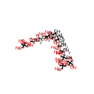 C=C(C)C(=O)O.C=C(C)C(=O)O.C=C(C)C(=O)O.C=CC(=O)O.C=CC(=O)O.C=CC(=O)O.C=CC(=O)O.CCC(CO)(CO)CO.OCC(CO)(CO)CO.OCC(CO)(CO)COCC(CO)(CO)CO